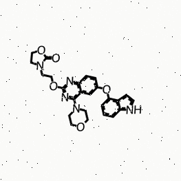 O=C1OCCN1CCOc1nc(N2CCOCC2)c2cc(Oc3cccc4[nH]ccc34)ccc2n1